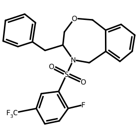 O=S(=O)(c1cc(C(F)(F)F)ccc1F)N1Cc2ccccc2COCC1Cc1ccccc1